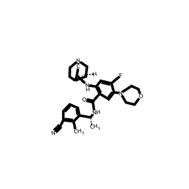 Cc1c(C#N)cccc1[C@@H](C)NC(=O)c1cc(N2CCOCC2)c(F)cc1N[C@@H]1CN2CCC1CC2